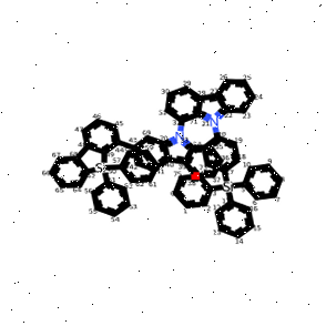 c1ccc([Si](c2ccccc2)(c2ccccc2)c2ccc(-n3c4ccccc4c4cccc(-n5c6ccccc6c6ccc(-c7cccc8c7[Si](c7ccccc7)(c7ccccc7)c7ccccc7-8)cc65)c43)cc2)cc1